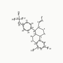 CC=CC1CCC2c3cc(F)cc(F)c3CCC2C1c1ccc(OC(F)(F)F)cc1